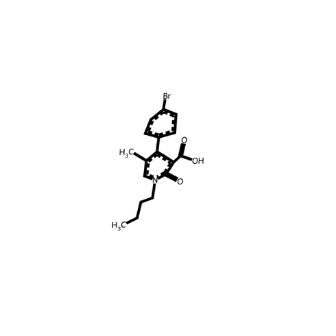 CCCCn1cc(C)c(-c2ccc(Br)cc2)c(C(=O)O)c1=O